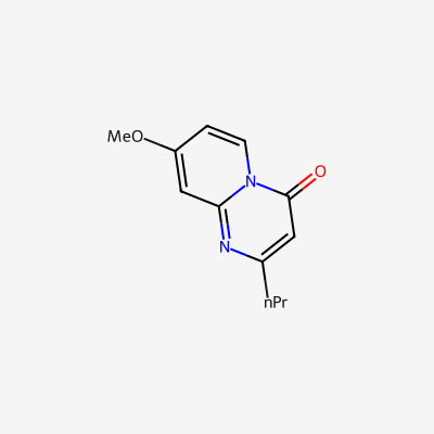 CCCc1cc(=O)n2ccc(OC)cc2n1